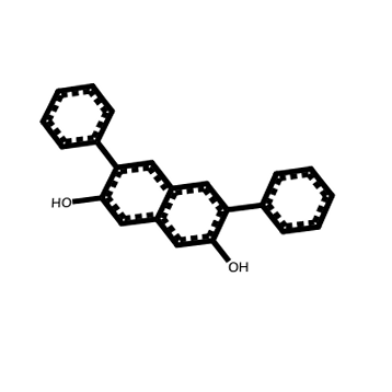 Oc1cc2cc(O)c(-c3ccccc3)cc2cc1-c1ccccc1